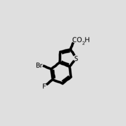 O=C(O)c1cc2c(Br)c(F)ccc2s1